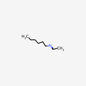 C/C=N/CCCCCC